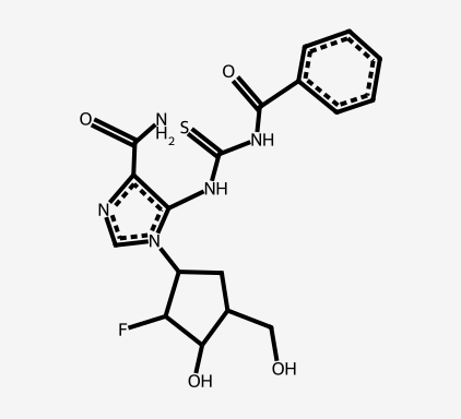 NC(=O)c1ncn(C2CC(CO)C(O)C2F)c1NC(=S)NC(=O)c1ccccc1